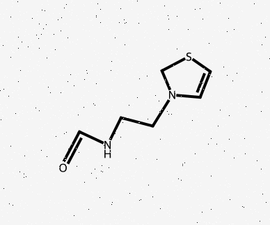 O=CNCCN1C=CSC1